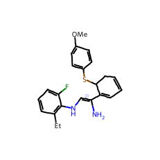 CCc1cccc(F)c1N/C=C(\N)C1=CC=CCC1Sc1ccc(OC)cc1